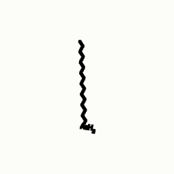 CCCCCCCCCCCCCCCC[AsH2]